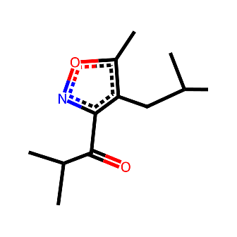 Cc1onc(C(=O)C(C)C)c1CC(C)C